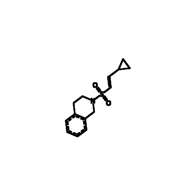 O=S(=O)(C=CC1CC1)N1CCc2ccccc2C1